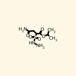 CC(C)OC(=O)C(CC(N)=O)S(=O)(=O)NN